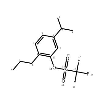 CCCc1ccc(C(C)C)cc1OS(=O)(=O)C(F)(F)F